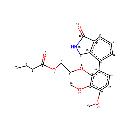 CCCC(=O)OCCOc1c(-c2cccc3c2CNC3=O)ccc(OC)c1OC